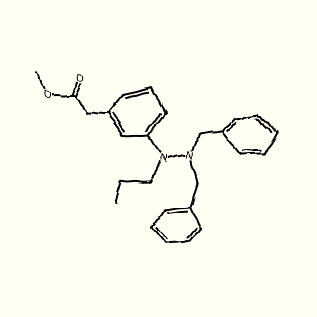 CCCN(c1cccc(CC(=O)OC)c1)N(Cc1ccccc1)Cc1ccccc1